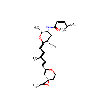 CC(=O)O[C@@H](C)/C=C\C(=O)N[C@@H]1C[C@H](C)\C(=C/C=C(C)/C=C/[C@@H]2C[C@]3(CCO2)OC3C)O[C@@H]1C